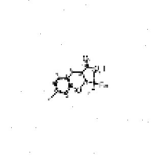 Cc1ccc2c(c1)OC(C(F)(F)F)C(C(=O)O)C2